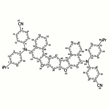 CC(C)c1ccc(N(c2ccc(C#N)cc2)c2cc3oc4cc5oc6cc(N(c7ccc(C#N)cc7)c7ccc(C(C)C)cc7)c7ccccc7c6c5cc4c3c3ccccc23)cc1